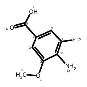 COc1cc(C(=O)O)cc(F)c1N